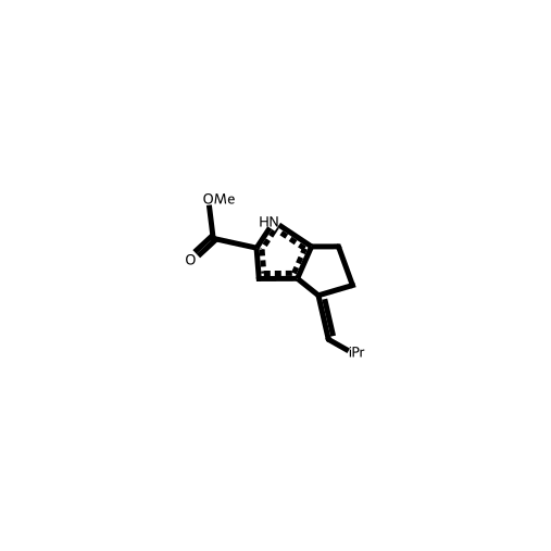 COC(=O)c1cc2c([nH]1)CC/C2=C\C(C)C